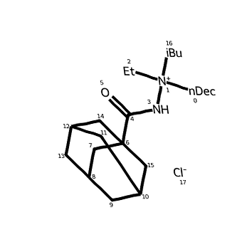 CCCCCCCCCC[N+](CC)(NC(=O)C12CC3CC(CC(C3)C1)C2)C(C)CC.[Cl-]